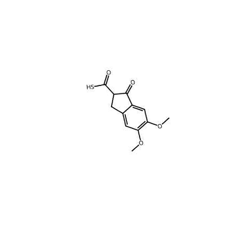 COc1cc2c(cc1OC)C(=O)C(C(=O)S)C2